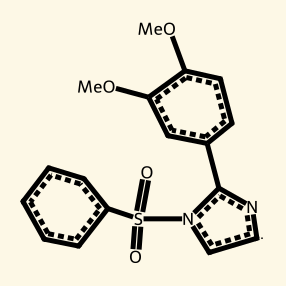 COc1ccc(-c2n[c]cn2S(=O)(=O)c2ccccc2)cc1OC